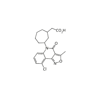 Cc1onc2c1c(=O)n(C1CCCCC(CC(=O)O)C1)c1cccc(Cl)c21